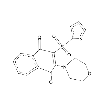 O=C1C(N2CCOCC2)=C(S(=O)(=O)c2cccs2)C(=O)c2ccccc21